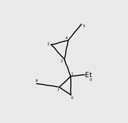 [CH2]CC1([C]2CC2C)CC1C